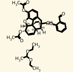 CC(=O)Oc1ccc2c3c1O[C@H]1[C@@H](OC(C)=O)C=C[C@H]4[C@@H](C2)N(C)CC[C@@]341.CCOC(C)OCC.O=Cc1ccccc1O